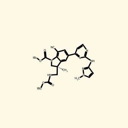 Cn1ccc(Nc2nccc(-c3cc(C#N)c4c(c3)[C@@](C)(CNC(=O)OC(C)(C)C)CN4C(=O)OC(C)(C)C)n2)n1